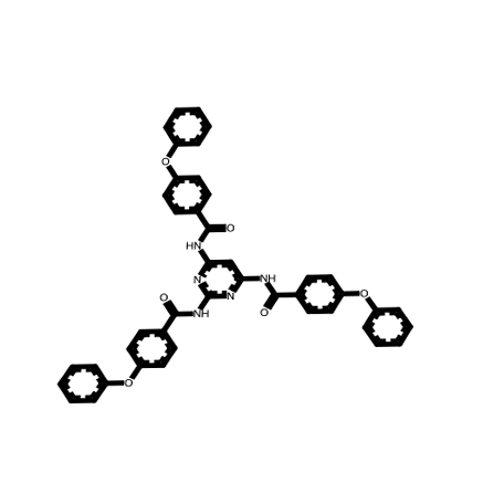 O=C(Nc1cc(NC(=O)c2ccc(Oc3ccccc3)cc2)nc(NC(=O)c2ccc(Oc3ccccc3)cc2)n1)c1ccc(Oc2ccccc2)cc1